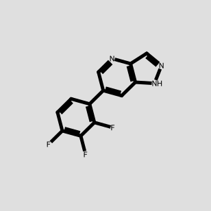 Fc1ccc(-c2cnc3cn[nH]c3c2)c(F)c1F